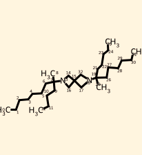 CCCCCCCC(C)(CCCC)N1CC2(C1)CN(C(C)(CCCCC)CCCCCC)C2